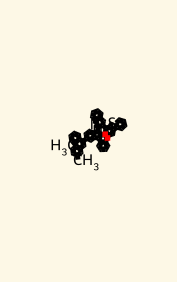 CC1C=CC2=C(C=C(c3ccc4c(c3)c3c5ccccc5ccc3n4C3=Nc4ccccc4CC3c3cccc4c3SC3C=CC=CC43)C3C=CC=CC23C)C1